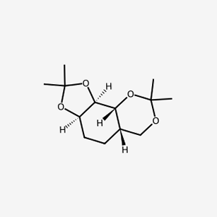 CC1(C)OC[C@@H]2CC[C@H]3OC(C)(C)O[C@H]3[C@@H]2O1